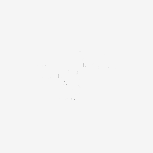 c1ccc(-c2nc(-c3ccc4c(c3)oc3ccccc34)cc(-c3cccc4oc5ccc(-c6ccc7c(c6)c6ccc(-c8cccc9c8sc8ccccc89)cc6n7-c6ccccc6)cc5c34)n2)cc1